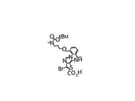 CC(Nc1ncnc2c(Br)c(C(=O)O)sc12)c1cccc(COCCCN(C)C(=O)OC(C)(C)C)c1